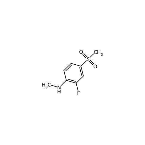 CNc1ccc(S(C)(=O)=O)cc1F